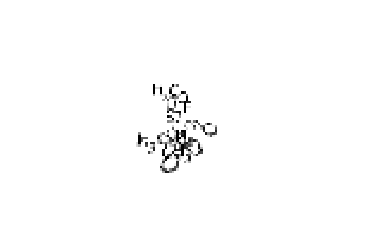 CC(=O)OC1S[C@H](CO[Si](c2ccccc2)(c2ccccc2)C(C)(C)C)[C@@H](OCc2ccccc2)[C@@H]1F